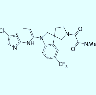 CC=C(Nc1ncc(Cl)s1)N1CC2(CCN(C(=O)C(=O)NC)C2)c2cc(C(F)(F)F)ccc21